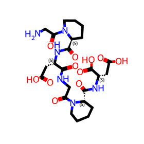 NCC(=O)N1CCCC[C@H]1C(=O)N[C@@H](CC(=O)O)C(=O)NCC(=O)N1CCCC[C@H]1C(=O)N[C@@H](CC(=O)O)C(=O)O